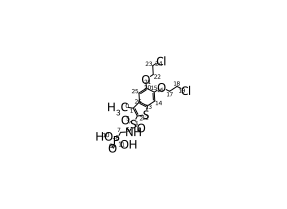 Cc1c(S(=O)(=O)NCP(=O)(O)O)sc2cc(OCCCl)c(OCCCl)cc12